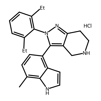 CCc1cccc(CC)c1-n1nc2c(c1-c1ccc(C)c3[nH]ccc13)CNCC2.Cl